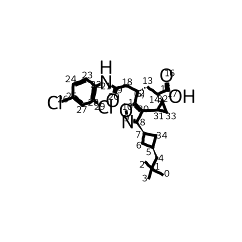 CC(C)(C)C[C@H]1C[C@@H](c2noc([C@@H](CCC(=O)O)CC(=O)Nc3ccc(Cl)cc3Cl)c2C2CC2)C1